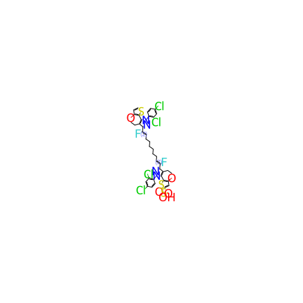 O=S(=O)(O)c1cc2c(s1)-c1c(c(/C(F)=C/CCCCCC/C=C(\F)c3nn(-c4ccc(Cl)cc4Cl)c4c3CCOc3ccsc3-4)nn1-c1ccc(Cl)cc1Cl)CCO2